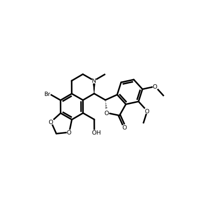 COc1ccc2c(c1OC)C(=O)O[C@@H]2[C@H]1c2c(c(Br)c3c(c2CO)OCO3)CCN1C